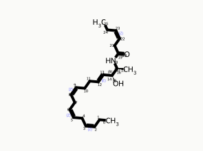 CC/C=C\C/C=C\C/C=C\CC/C=C/[C@@H](O)[C@H](C)NC(=O)C/C=C\CC